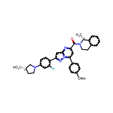 COc1ccc(-c2cc(C(=O)N3CCc4ccccc4[C@H]3C)nc3cc(-c4ccc(N5CC[C@H](C(=O)O)C5)cc4F)nn23)cc1